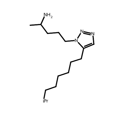 CC(C)CCCCCCc1cnnn1CCCC(C)N